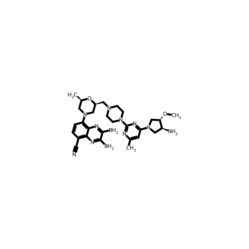 Bc1nc2c(C#N)ccc(N3C[C@H](CN4CCN(c5nc(C)cc(N6C[C@H](OC)[C@@H](N)C6)n5)CC4)O[C@H](C)C3)c2nc1B